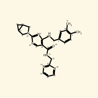 Cc1ccc(CNc2nc(N3CC4CC4C3)ncc2C(=O)NCc2ncccn2)cc1C